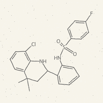 CC1(C)CC(c2ccccc2NS(=O)(=O)c2ccc(F)cc2)Nc2c(Cl)cccc21